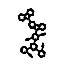 N#Cc1ccccc1-c1cc(-c2cc(C#N)c(-n3c4ccccc4c4cc(-n5c6ccccc6c6ccccc65)ccc43)cc2C#N)nc(-c2ccccc2C#N)n1